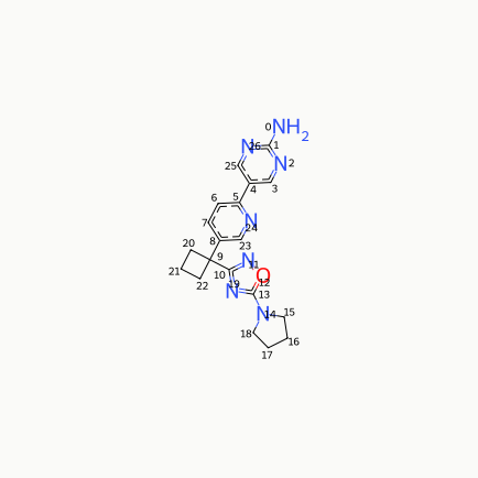 Nc1ncc(-c2ccc(C3(c4noc(N5CCCC5)n4)CCC3)cn2)cn1